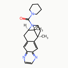 CC1(C)[C@H]2Cc3cc4nccnc4cc3[C@]1(C)CCN2C(=O)N1CCCCC1